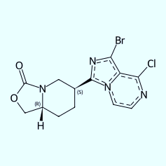 O=C1OC[C@H]2CC[C@H](c3nc(Br)c4c(Cl)nccn34)CN12